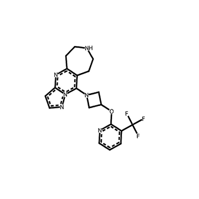 FC(F)(F)c1cccnc1OC1CN(c2c3c(nc4ccnn24)CCNCC3)C1